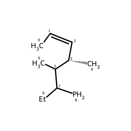 C/C=C\[C@H](C)C(C)C(P)CC